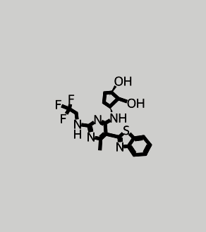 Cc1nc(NCC(F)(F)F)nc(N[C@@H]2CC[C@@H](O)C2O)c1-c1nc2ccccc2s1